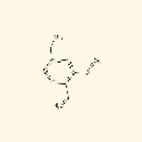 C=Cc1ccc(CC)cc1C=C